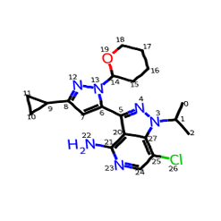 CC(C)n1nc(-c2cc(C3CC3)nn2C2CCCCO2)c2c(N)ncc(Cl)c21